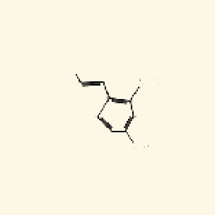 COc1ccc(/C=C/C(=O)O)c(NC(C)=O)c1